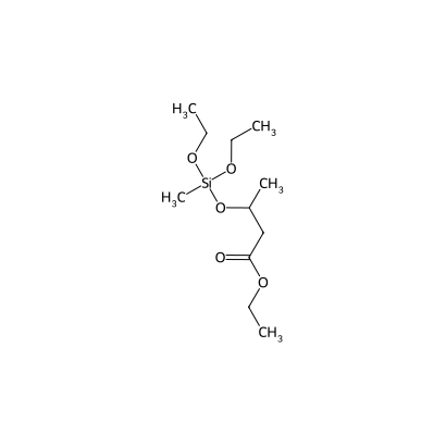 CCOC(=O)CC(C)O[Si](C)(OCC)OCC